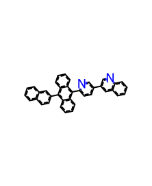 c1ccc2cc(-c3c4ccccc4c(-c4ccc(-c5cnc6ccccc6c5)cn4)c4ccccc34)ccc2c1